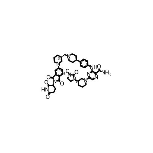 CN1CCN([C@@H]2CCCN(c3cnc(C(N)=O)c(Nc4ccc(C5CCN(C[C@@H]6CCCN(c7ccc8c(c7)C(=O)N(C7CCC(=O)NC7=O)C8=O)C6)CC5)cc4)n3)C2)C1=O